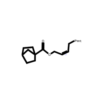 CCCC(C)C/C=C\COC(=O)C12CCC(CC1)C2